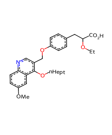 CCCCCCCOc1c(COc2ccc(CC(OCC)C(=O)O)cc2)cnc2ccc(OC)cc12